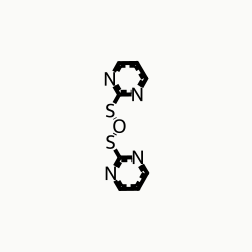 c1cnc(SOSc2ncccn2)nc1